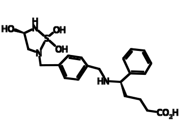 O=C(O)CCC[C@@H](NCc1ccc(CN2C[C@@H](O)NS2(O)O)cc1)c1ccccc1